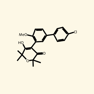 COc1ccc(-c2ccc(Cl)cc2)cc1C1=C(O)C(C)(C)OC(C)(C)C1=O